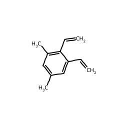 C=Cc1cc(C)cc(C)c1C=C